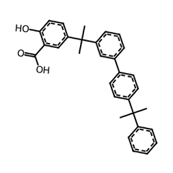 CC(C)(c1ccccc1)c1ccc(-c2cccc(C(C)(C)c3ccc(O)c(C(=O)O)c3)c2)cc1